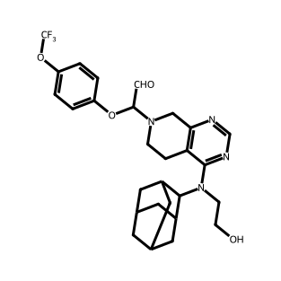 O=CC(Oc1ccc(OC(F)(F)F)cc1)N1CCc2c(ncnc2N(CCO)C2C3CC4CC(C3)CC2C4)C1